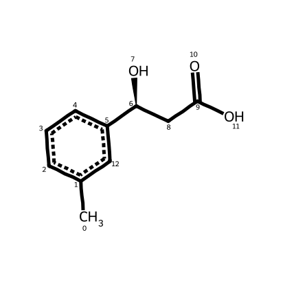 Cc1cccc([C@@H](O)CC(=O)O)c1